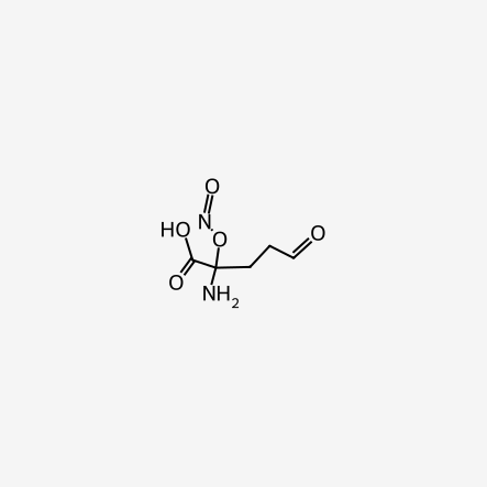 NC(CCC=O)(ON=O)C(=O)O